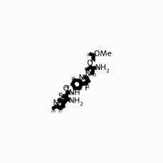 COC(C)COC1CN(c2cc(F)c3c(n2)CCC(NC(=O)c2sc4nc(C)ccc4c2N)C3)CC1N